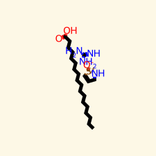 CCCCCCCCCCCCCCCCCC(=O)O.N=C(N)N.[O-][S+]1C=CCN1